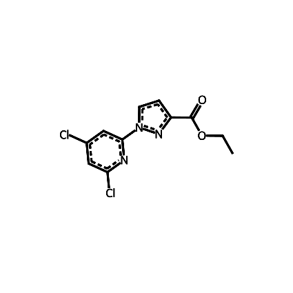 CCOC(=O)c1ccn(-c2cc(Cl)cc(Cl)n2)n1